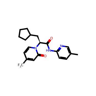 Cc1ccc(NC(=O)[C@H](CC2CCCC2)n2ccc(C(F)(F)F)cc2=O)nc1